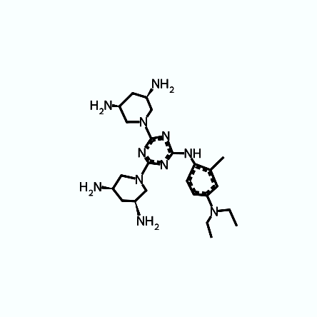 CCN(CC)c1ccc(Nc2nc(N3C[C@H](N)C[C@H](N)C3)nc(N3C[C@H](N)C[C@H](N)C3)n2)c(C)c1